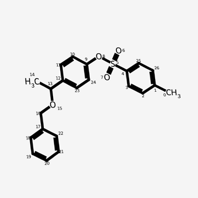 Cc1ccc(S(=O)(=O)Oc2ccc(C(C)OCc3ccccc3)cc2)cc1